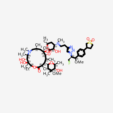 CC[C@H]1OC(=O)[C@H](C)[C@@H](C2C[C@@](C)(OC)[C@@H](O)[C@H](C)O2)[C@H](C)[C@@H](O[C@@H]2O[C@H](C)C[C@H](N(C)CCc3cn([C@H](CF)[C@H](OC)c4ccc(C5CCS(=O)(=O)C5)cc4)nn3)[C@H]2O)[C@](C)(O)C[C@@H](C)CN(C)[C@H](C)[C@@H](O)[C@]1(C)O